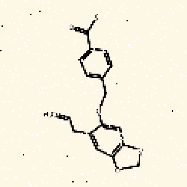 C=CCc1cc2c(cc1OCc1ccc(C(C)=O)cc1)OCO2